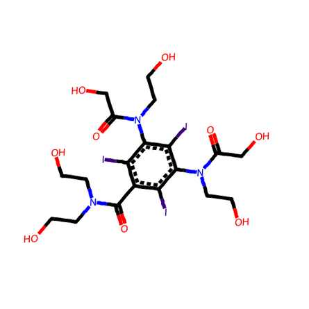 O=C(c1c(I)c(N(CCO)C(=O)CO)c(I)c(N(CCO)C(=O)CO)c1I)N(CCO)CCO